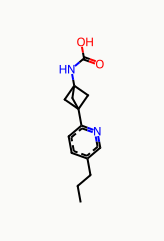 CCCc1ccc(C23CC(NC(=O)O)(C2)C3)nc1